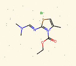 CCOC(=O)[n+]1c(C)csc1N=CN(C)C.[Br-]